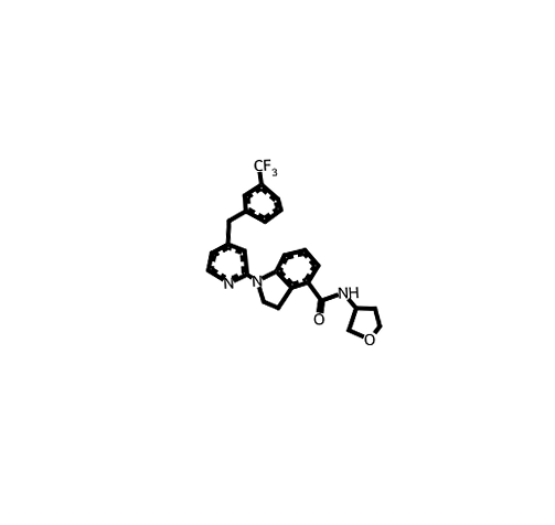 O=C(NC1CCOC1)c1cccc2c1CCN2c1cc(Cc2cccc(C(F)(F)F)c2)ccn1